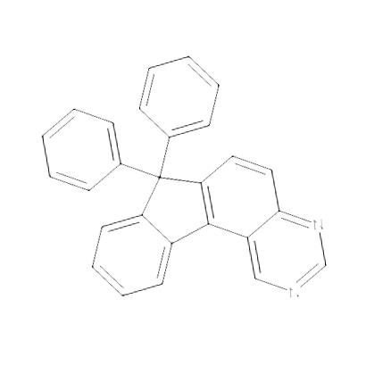 c1ccc(C2(c3ccccc3)c3ccccc3-c3c2ccc2ncncc32)cc1